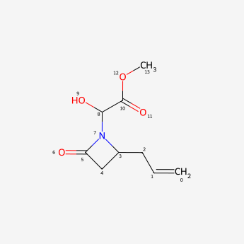 C=CCC1CC(=O)N1C(O)C(=O)OC